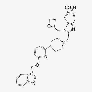 O=C(O)c1ccc2nc(CN3CCC(c4cccc(OCc5cnn6ccccc56)n4)CC3)n(C[C@@H]3CCO3)c2c1